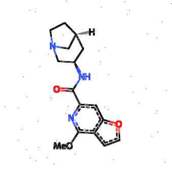 COc1nc(C(=O)N[C@@H]2C[C@@H]3CCN(C3)C2)cc2occc12